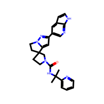 CC(C)(NC(=O)N1CCC2(CCn3nc(-c4cnc5[nH]ccc5c4)cc32)C1)c1ccccn1